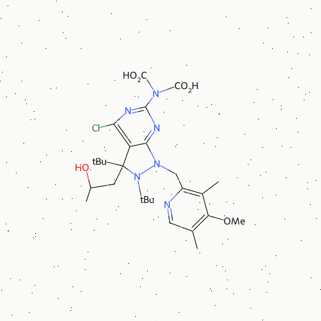 COc1c(C)cnc(CN2c3nc(N(C(=O)O)C(=O)O)nc(Cl)c3C(CC(C)O)(C(C)(C)C)N2C(C)(C)C)c1C